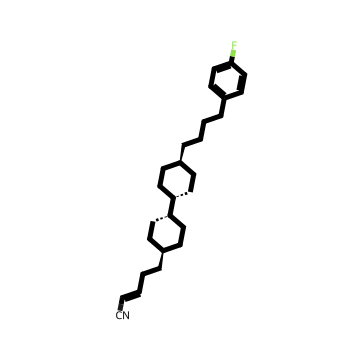 N#CC=CCC[C@H]1CC[C@H]([C@H]2CC[C@H](CCCCc3ccc(F)cc3)CC2)CC1